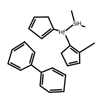 CC1=[C]([Hf]([C]2=CC=CC2)[SiH](C)C)CC=C1.c1ccc(-c2ccccc2)cc1